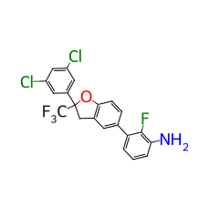 Nc1cccc(-c2ccc3c(c2)CC(c2cc(Cl)cc(Cl)c2)(C(F)(F)F)O3)c1F